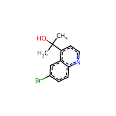 CC(C)(O)c1ccnc2ccc(Br)cc12